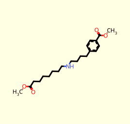 COC(=O)CCCCCCCNCCCCc1ccc(C(=O)OC)cc1